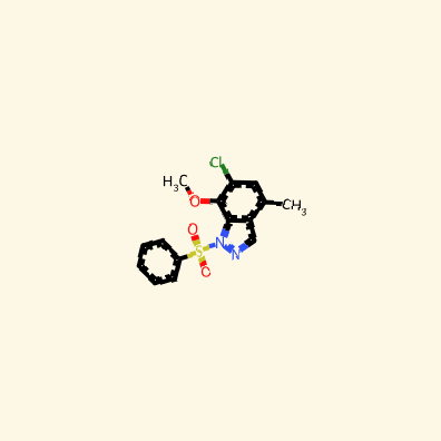 COc1c(Cl)cc(C)c2cnn(S(=O)(=O)c3ccccc3)c12